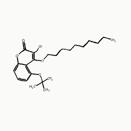 CCCCCCCCCCOc1c(O)c(=O)oc2cccc(OC(C)(C)C)c12